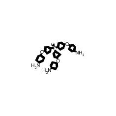 Nc1ccc(Oc2ccc(P(=O)(c3ccc(Oc4ccc(N)cc4)cc3)c3ccc(Oc4ccc(N)cc4)cc3)cc2)cc1